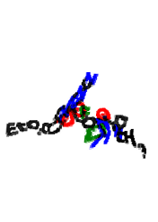 CCOC(=O)C1CCC(OC(C(=O)Cc2cc(Cl)c(NC(=O)c3cn(C)c4ccccc34)cc2F)(N2CCCC2)N2CCN(c3ccncc3)CC2)CC1